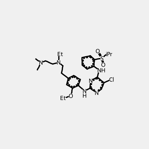 CCOc1cc(CCN(CC)CCN(C)C)ccc1Nc1ncc(Cl)c(Nc2ccccc2S(=O)(=O)C(C)C)n1